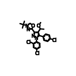 COC(C)c1c(C2=NN(C(C)(C)C)CO2)nn(-c2ccc(Cl)cc2Cl)c1-c1ccc(Cl)cc1